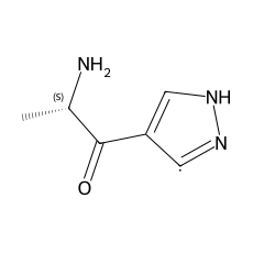 C[C@H](N)C(=O)c1[c]n[nH]c1